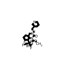 COC(=O)N1C(=O)N(N=Cc2cccnc2)Cc2cccc(C(F)(C(F)(F)F)C(F)(F)F)c21